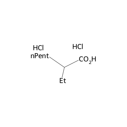 CCCCCC(CC)C(=O)O.Cl.Cl